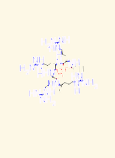 CC(=O)N[C@@H](CCCNC(=N)N)C(=O)N[C@@H](CCCNC(=N)N)C(=O)N[C@@H](CCCNC(=N)N)C(=O)N[C@H](C)CCCNC(=N)N